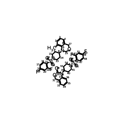 Cc1cccc2c1N(C1CCN(S(=O)(=O)c3ccc(F)cc3F)CC1)COC2.O=C1OCc2ccccc2N1C1CCN(S(=O)(=O)c2ccc(F)cc2F)CC1